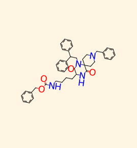 O=C(NCCCCC1NC(=O)C2(CCN(Cc3ccccc3)CC2)N(CC(c2ccccc2)c2ccccc2)C1=O)OCc1ccccc1